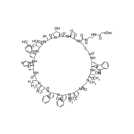 CCCCCCCCCCCC(=O)NCCNC(=O)[C@@H]1CSCC(=O)N[C@@H](Cc2c[nH]c3ccccc23)C(=O)N[C@@H]([C@@H](C)O)C(=O)N(C)CC(=O)N[C@@H](CC(=O)O)C(=O)N(C)[C@@H](Cc2ccccc2)C(=O)N(C)[C@@H](Cc2ccccc2)C(=O)N[C@@H](C)C(=O)N(C)[C@@H](C)C(=O)N[C@@H](Cc2cnc[nH]2)C(=O)N[C@@H](Cc2ccc(O)cc2)C(=O)N[C@@H]([C@@H](C)O)C(=O)N[C@@H](C(C)C)C(=O)N2C[C@H](O)C[C@H]2C(=O)N[C@@H](C)C(=O)N1